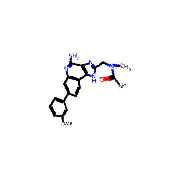 CCCC(=O)N(C)Cc1nc2c(N)nc3cc(-c4cccc(OC)c4)ccc3c2[nH]1